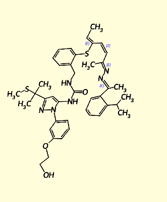 C\C=C(/C=C\C(C)=N\N=C(/C)c1ccccc1C(C)C)Sc1ccccc1CNC(=O)Nc1cc(C(C)(C)SC)nn1-c1cccc(OCCO)c1